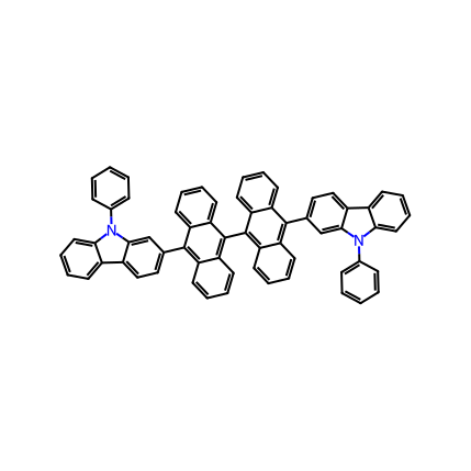 c1ccc(-n2c3ccccc3c3ccc(-c4c5ccccc5c(-c5c6ccccc6c(-c6ccc7c8ccccc8n(-c8ccccc8)c7c6)c6ccccc56)c5ccccc45)cc32)cc1